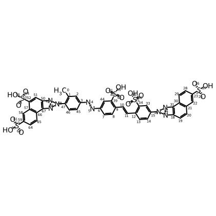 Cc1cc(N=Nc2ccc(C=Cc3ccc(-n4n5c6ccc7cc(S(=O)(=O)O)ccc7c6n45)cc3S(=O)(=O)O)c(S(=O)(=O)O)c2)ccc1-n1n2c3cc(S(=O)(=O)O)c4cc(S(=O)(=O)O)ccc4c3n12